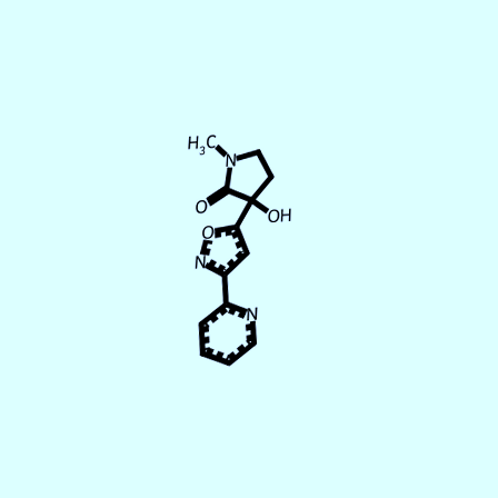 CN1CCC(O)(c2cc(-c3ccccn3)no2)C1=O